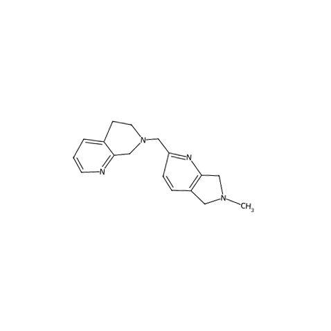 CN1Cc2ccc(CN3CCc4cccnc4C3)nc2C1